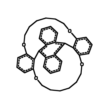 c1cc2c3c(c1)OCCCCCCOc1cccc(c1-c1c4ccccc4c-3c3ccccc13)OCCCCCCO2